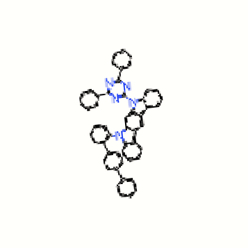 c1ccc(-c2ccc(-c3ccccc3-n3c4ccccc4c4cc5c6ccccc6n(-c6nc(-c7ccccc7)nc(-c7ccccc7)n6)c5cc43)cc2)cc1